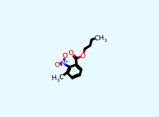 CCCCOC(=O)c1cccc(C)c1[N+](=O)[O-]